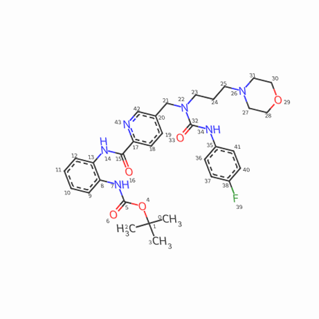 CC(C)(C)OC(=O)Nc1ccccc1NC(=O)c1ccc(CN(CCCN2CCOCC2)C(=O)Nc2ccc(F)cc2)cn1